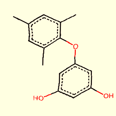 Cc1cc(C)c(Oc2cc(O)cc(O)c2)c(C)c1